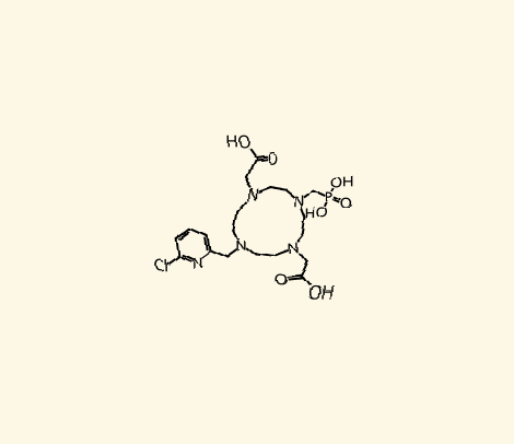 O=C(O)CN1CCN(Cc2cccc(Cl)n2)CCN(CC(=O)O)CCN(CP(=O)(O)O)CC1